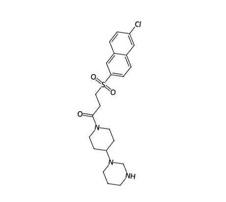 O=C(CCS(=O)(=O)c1ccc2cc(Cl)ccc2c1)N1CCC(N2CCCNC2)CC1